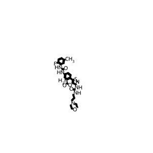 Cc1ccc(F)c(NC(=O)Nc2ccc(-c3snc(NC(=O)NCCCN4CCOCC4)c3OC(N)=O)cc2)c1